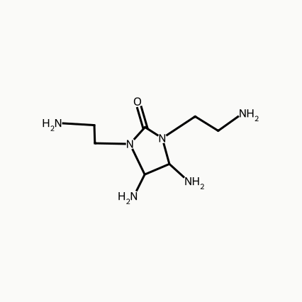 NCCN1C(=O)N(CCN)C(N)C1N